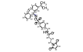 CC(C)c1ccc2sc3ccccc3/c(=N\OS(=O)(=O)c3ccc(CNC(=O)CCCN4C(=O)C=CC4=O)cc3)c2c1